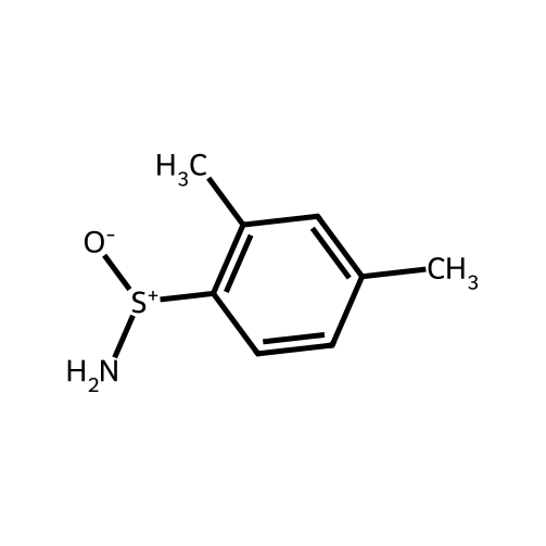 Cc1ccc([S+](N)[O-])c(C)c1